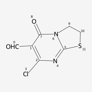 O=Cc1c(Cl)nc2n(c1=O)CCS2